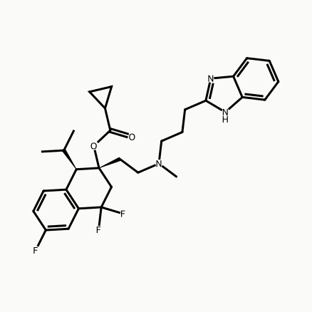 CC(C)[C@@H]1c2ccc(F)cc2C(F)(F)C[C@@]1(CCN(C)CCCc1nc2ccccc2[nH]1)OC(=O)C1CC1